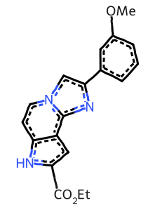 CCOC(=O)c1cc2c(ccn3cc(-c4cccc(OC)c4)nc23)[nH]1